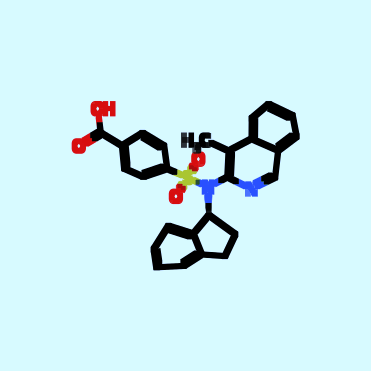 Cc1c(N([C@H]2CCc3ccccc32)S(=O)(=O)c2ccc(C(=O)O)cc2)ncc2ccccc12